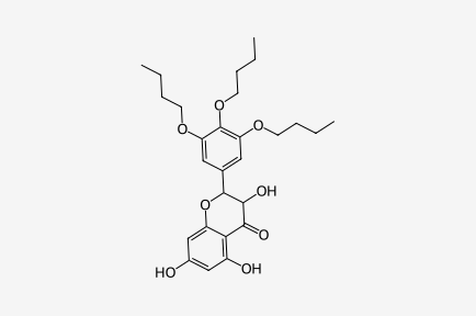 CCCCOc1cc(C2Oc3cc(O)cc(O)c3C(=O)C2O)cc(OCCCC)c1OCCCC